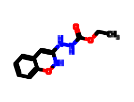 CCOC(=O)NNC1=Cc2ccccc2ON1